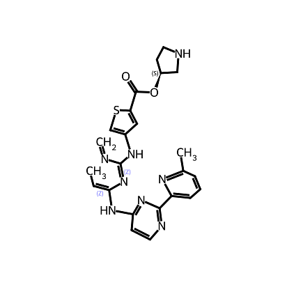 C=N/C(=N\C(=C/C)Nc1ccnc(-c2cccc(C)n2)n1)Nc1csc(C(=O)O[C@H]2CCNC2)c1